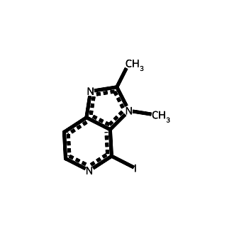 Cc1nc2ccnc(I)c2n1C